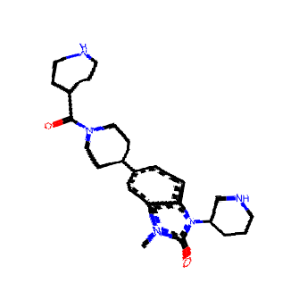 Cn1c(=O)n(C2CCCNC2)c2ccc(C3CCN(C(=O)C4CCNCC4)CC3)cc21